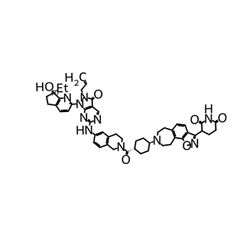 C=CCn1c(=O)c2cnc(Nc3ccc4c(c3)CCN(C(=O)[C@H]3CC[C@H](N5CCc6ccc7c(C8CCC(=O)NC8=O)noc7c6CC5)CC3)C4)nc2n1-c1ccc2c(n1)[C@@](O)(CC)CC2